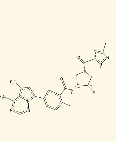 Cc1cc(C(=O)N2C[C@H](F)[C@H](NC(=O)c3cc(-c4cc(C(F)(F)F)c5c(N)ncnn45)ccc3C)C2)n(C)n1